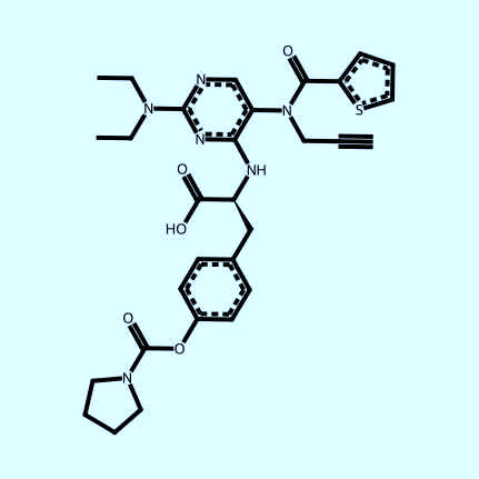 C#CCN(C(=O)c1cccs1)c1cnc(N(CC)CC)nc1N[C@@H](Cc1ccc(OC(=O)N2CCCC2)cc1)C(=O)O